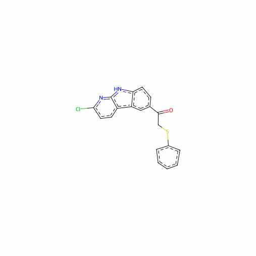 O=C(CSc1ccccc1)c1ccc2[nH]c3nc(Cl)ccc3c2c1